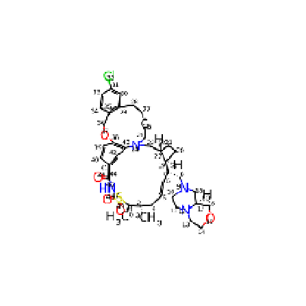 C[C@@H]1[C@@H](C)C/C=C/[C@@H](CN2CCN3CCOC[C@@H]3C2)[C@@H]2CC[C@H]2CN2CCCCc3cc(Cl)ccc3COc3ccc(cc32)C(=O)NS1(=O)=O